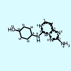 Nc1nc2ccnc(NC3CCC(O)CC3)n2n1